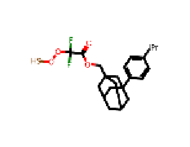 CC(C)c1ccc(C23CC4CC(CC(COC(=O)C(F)(F)OOS)(C4)C2)C3)cc1